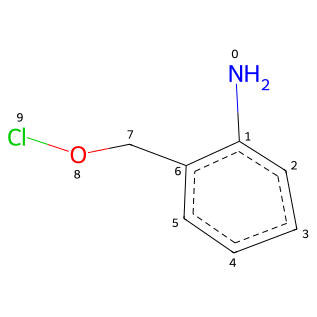 Nc1ccccc1COCl